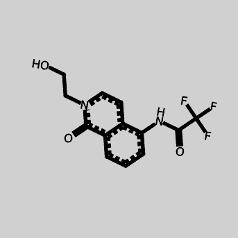 O=C(Nc1cccc2c(=O)n(CCO)ccc12)C(F)(F)F